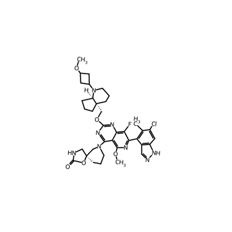 COc1nc(-c2c(C)c(Cl)cc3[nH]ncc23)c(F)c2nc(OC[C@]34CCC[C@H]3N(C3CC(OC)C3)CCC4)nc(N3CCC[C@]4(CNC(=O)O4)C3)c12